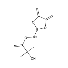 C=C1OB(BOC(=C)C(C)(C)O)OC1=C